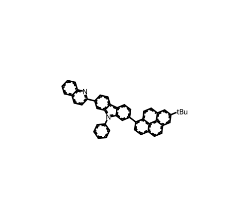 CC(C)(C)c1cc2ccc3ccc(-c4ccc5c6ccc(-c7ccc8ccccc8n7)cc6n(-c6ccccc6)c5c4)c4ccc(c1)c2c34